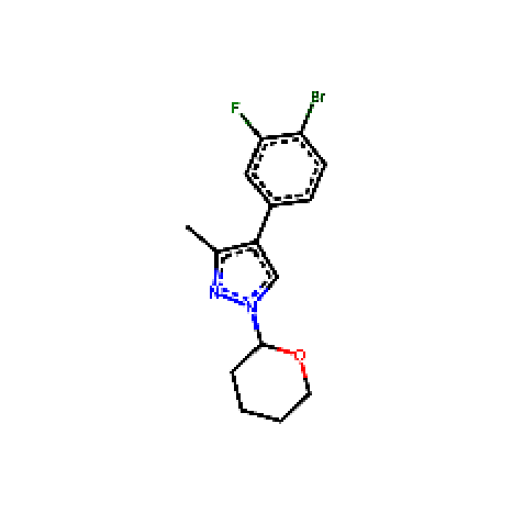 Cc1nn(C2CCCCO2)cc1-c1ccc(Br)c(F)c1